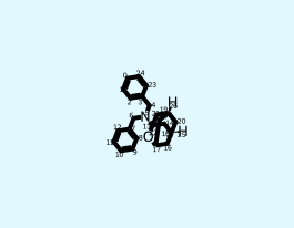 c1ccc(CN(Cc2ccccc2)C23C[C@@H]4CC(C[C@@H](C4)C2)O3)cc1